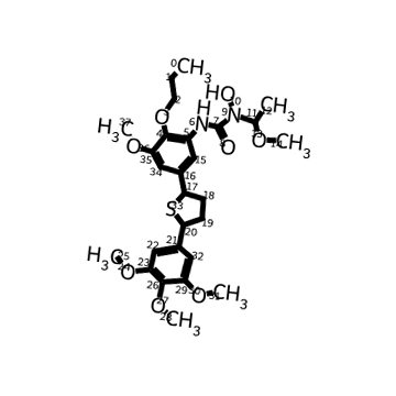 CCCOc1c(NC(=O)N(O)C(C)OC)cc(C2CCC(c3cc(OC)c(OC)c(OC)c3)S2)cc1OC